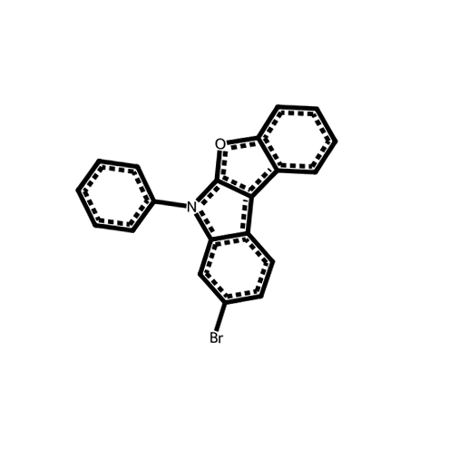 Brc1ccc2c3c4ccccc4oc3n(-c3ccccc3)c2c1